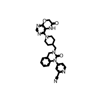 N#Cc1cc(N2C(=O)N(CC3CCN(c4ncnc5c4NC(=O)CO5)CC3)Cc3ccccc32)ccn1